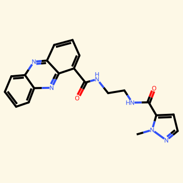 Cn1nccc1C(=O)NCCNC(=O)c1cccc2nc3ccccc3nc12